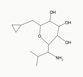 CC(C)C(N)C1OC(CC2CC2)C(O)C(O)C1O